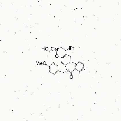 COc1ccc(Cn2c(=O)c3c(C)nccc3c3ccc(ON(C(=O)O)C(C)CC(C)C)cc32)cc1